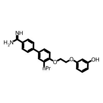 CCCc1cc(-c2ccc(C(=N)N)cc2)ccc1OCCOc1cccc(O)c1